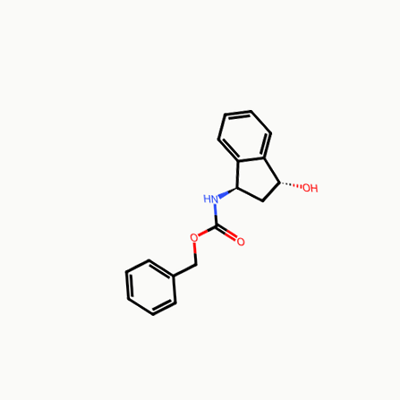 O=C(N[C@@H]1C[C@@H](O)c2ccccc21)OCc1ccccc1